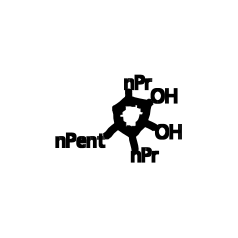 CCCCCc1cc(CCC)c(O)c(O)c1CCC